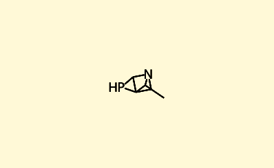 CC1N2CC13PC23